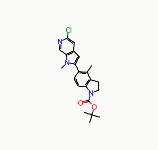 Cc1c(-c2cc3cc(Cl)ncc3n2C)ccc2c1CCN2C(=O)OC(C)(C)C